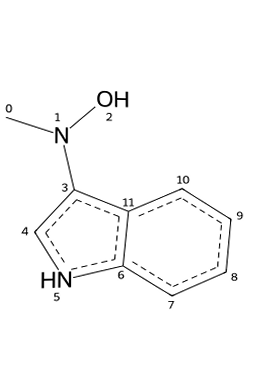 CN(O)c1c[nH]c2ccccc12